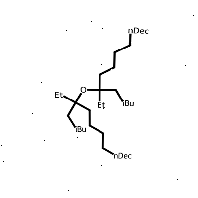 CCCCCCCCCCCCCCC(CC)(CC(C)CC)OC(CC)(CCCCCCCCCCCCCC)CC(C)CC